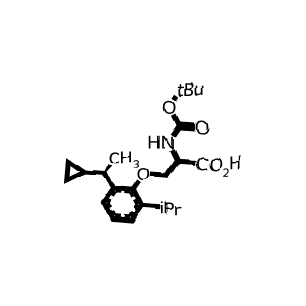 CC(C)c1cccc([C@H](C)C2CC2)c1OCC(NC(=O)OC(C)(C)C)C(=O)O